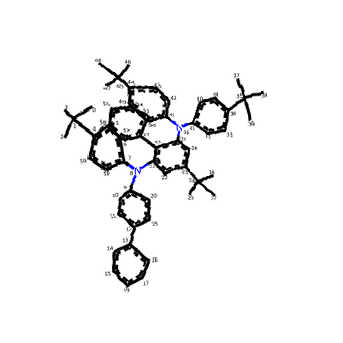 CC(C)(C)c1ccc(N(c2ccc(-c3ccccc3)cc2)c2cc(C(C)(C)C)cc(N(c3ccc(C(C)(C)C)cc3)c3ccc(C(C)(C)C)cc3)c2-c2ccccc2)cc1